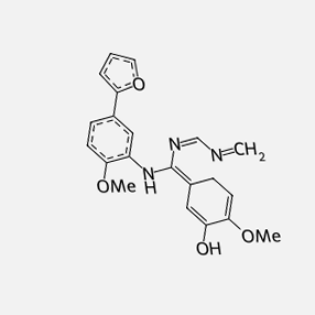 C=N/C=N\C(Nc1cc(-c2ccco2)ccc1OC)=C1\C=C(O)C(OC)=CC1